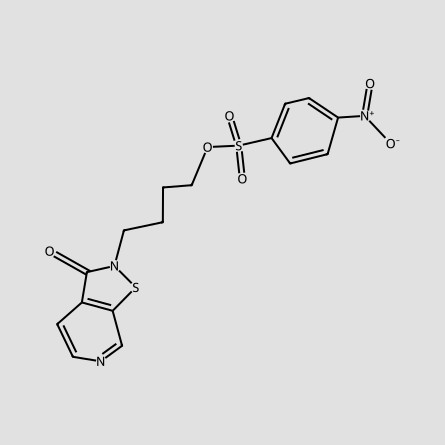 O=c1c2ccncc2sn1CCCCOS(=O)(=O)c1ccc([N+](=O)[O-])cc1